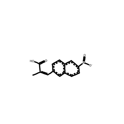 CC(=Cc1ccc2cc([N+](=O)[O-])ccc2c1)C(=O)O